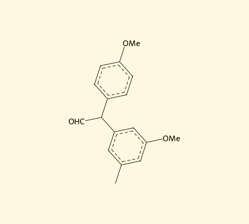 COc1ccc(C(C=O)c2cc(C)cc(OC)c2)cc1